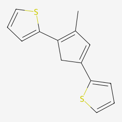 CC1=C(c2cccs2)CC(c2cccs2)=C1